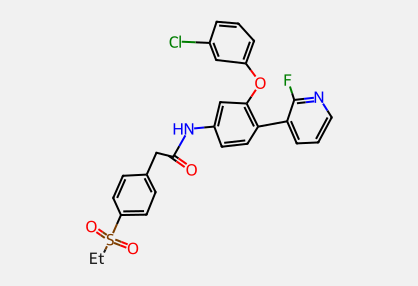 CCS(=O)(=O)c1ccc(CC(=O)Nc2ccc(-c3cccnc3F)c(Oc3cccc(Cl)c3)c2)cc1